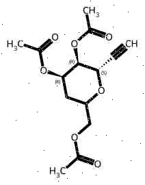 C#C[C@@H]1OC(COC(C)=O)C[C@@H](OC(C)=O)[C@H]1OC(C)=O